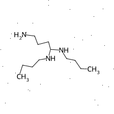 CCCCNC(CCCN)NCCCC